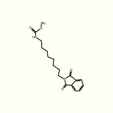 CC(C)(C)OC(=O)NCCCCCCCCN1C(=O)c2ccccc2C1=O